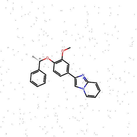 COc1cc(-c2cn3ccccc3n2)ccc1O[C@@H](C)c1ccccc1